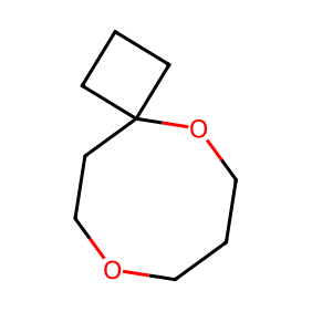 C1COCCC2(CCC2)OC1